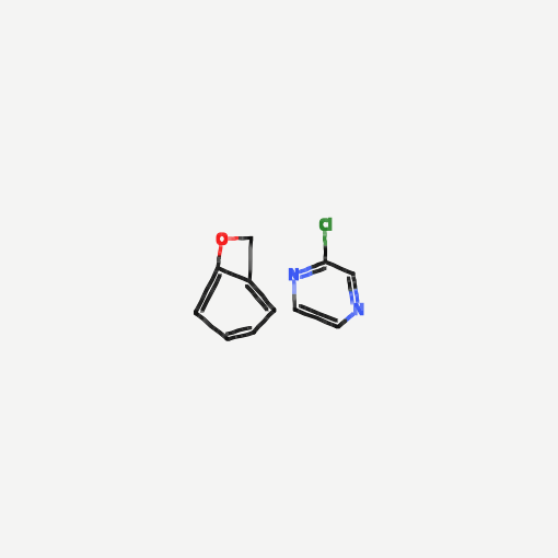 Clc1cnccn1.c1ccc2c(c1)CO2